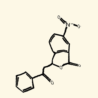 O=C(CC1OC(=O)c2cc([N+](=O)[O-])ccc21)c1ccccc1